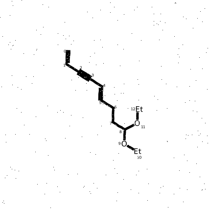 C=CC#CC=CCCC(OCC)OCC